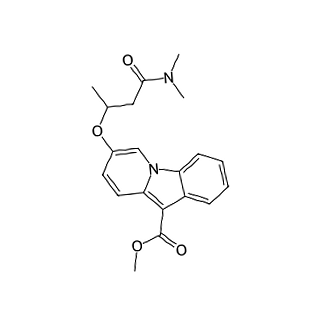 COC(=O)c1c2ccccc2n2cc(OC(C)CC(=O)N(C)C)ccc12